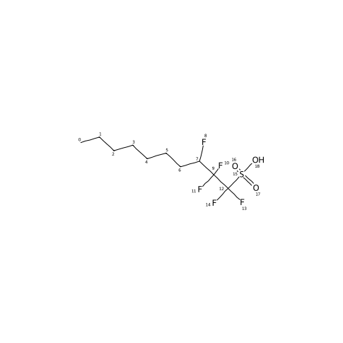 CCCCCCCC(F)C(F)(F)C(F)(F)S(=O)(=O)O